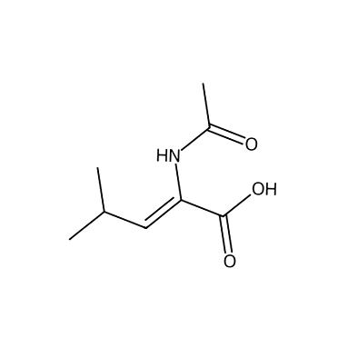 CC(=O)N/C(=C\C(C)C)C(=O)O